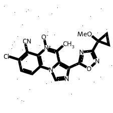 COC1(c2noc(-c3ncn4c3c(C)[n+]([O-])c3c(C#N)c(Cl)ccc34)n2)CC1